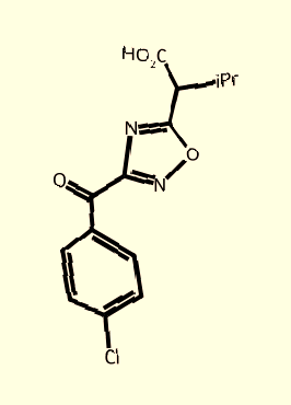 CC(C)C(C(=O)O)c1nc(C(=O)c2ccc(Cl)cc2)no1